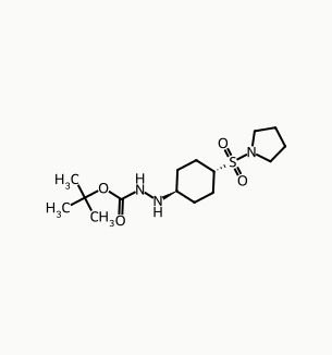 CC(C)(C)OC(=O)NN[C@H]1CC[C@H](S(=O)(=O)N2CCCC2)CC1